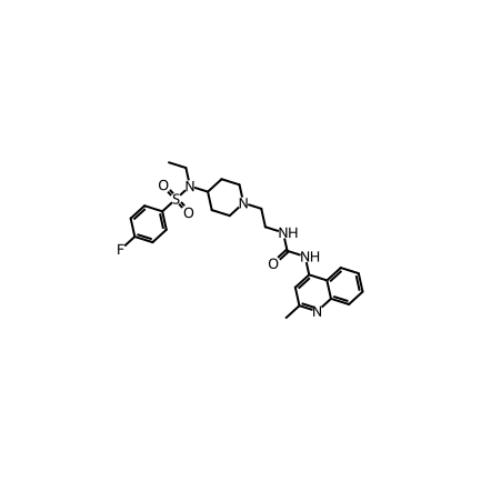 CCN(C1CCN(CCNC(=O)Nc2cc(C)nc3ccccc23)CC1)S(=O)(=O)c1ccc(F)cc1